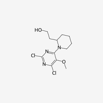 COc1c(Cl)nc(Cl)nc1N1CCCCC1CCO